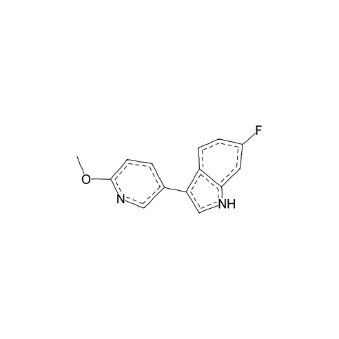 COc1ccc(-c2c[nH]c3cc(F)ccc23)cn1